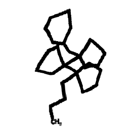 CCCCC1(C2(C3([C]4CCCCC4)CCCC3)CCCC2)CCCC1